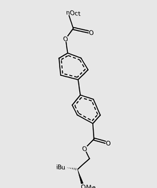 CCCCCCCCC(=O)Oc1ccc(-c2ccc(C(=O)OC[C@@H](OC)[C@@H](C)CC)cc2)cc1